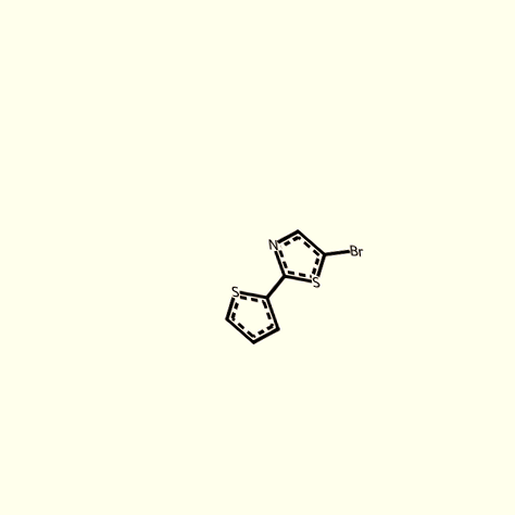 Brc1cnc(-c2cccs2)s1